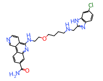 NC(=O)c1ccc2c(c1)nc(NCCOCCCCNCc1nc3ccc(Cl)cc3[nH]1)c1ccncc12